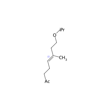 CC(=O)CC/C=C(\C)CCOC(C)C